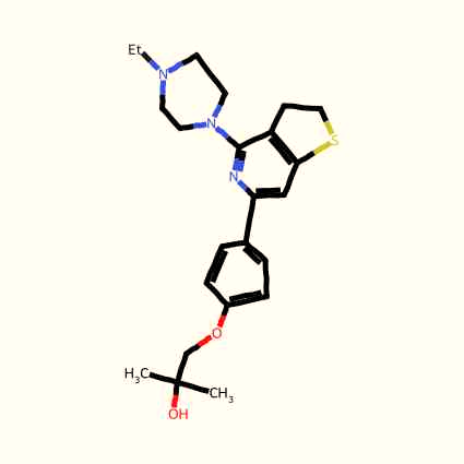 CCN1CCN(c2nc(-c3ccc(OCC(C)(C)O)cc3)cc3c2CCS3)CC1